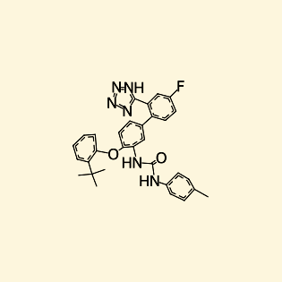 Cc1ccc(NC(=O)Nc2cc(-c3ccc(F)cc3-c3nnn[nH]3)ccc2Oc2ccccc2C(C)(C)C)cc1